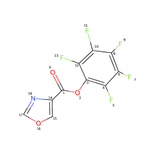 O=C(Oc1c(F)c(F)c(F)c(F)c1F)c1cocn1